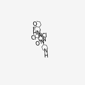 Cl.O=c1c(Cl)c(NC[C@@H]2CCCOC2F)cnn1C1CCNCC1